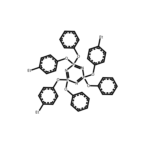 CCc1ccc(OP2(Oc3ccccc3)=NP(Oc3ccccc3)(Oc3ccc(CC)cc3)=NP(Oc3ccccc3)(Oc3ccc(CC)cc3)=N2)cc1